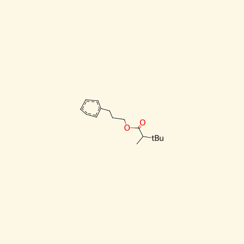 CC(C(=O)OCCCc1ccccc1)C(C)(C)C